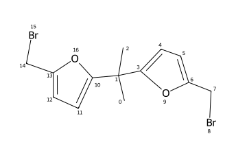 CC(C)(c1ccc(CBr)o1)c1ccc(CBr)o1